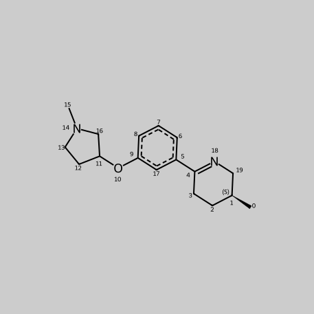 C[C@H]1CCC(c2cccc(OC3CCN(C)C3)c2)=NC1